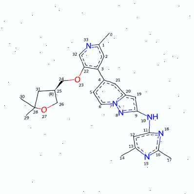 Cc1cc(-c2ccn3nc(Nc4cc(C)nc(C)n4)cc3c2)c(OC[C@H]2COC(C)(C)C2)cn1